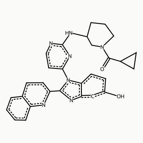 O=C(C1CC1)N1CCCC(Nc2nccc(-n3c(-c4ccc5ccccc5n4)nc4cc(O)ccc43)n2)C1